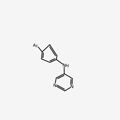 CC(=O)c1ccc(Nc2cncnc2)cc1